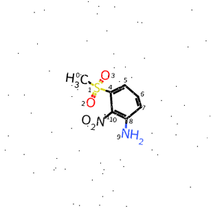 CS(=O)(=O)c1cccc(N)c1[N+](=O)[O-]